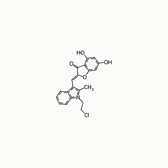 Cc1c(C=C2Oc3cc(O)cc(O)c3C2=O)c2ccccc2n1CCCl